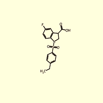 CCc1ccc(S(=O)(=O)N2CC(C(=O)O)c3cc(F)ccc32)cc1